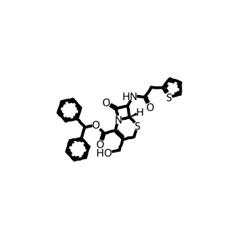 O=C(Cc1cccs1)NC1C(=O)N2C(C(=O)OC(c3ccccc3)c3ccccc3)=C(CO)CS[C@@H]12